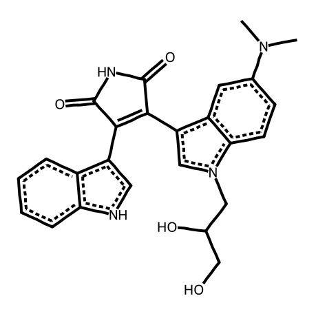 CN(C)c1ccc2c(c1)c(C1=C(c3c[nH]c4ccccc34)C(=O)NC1=O)cn2CC(O)CO